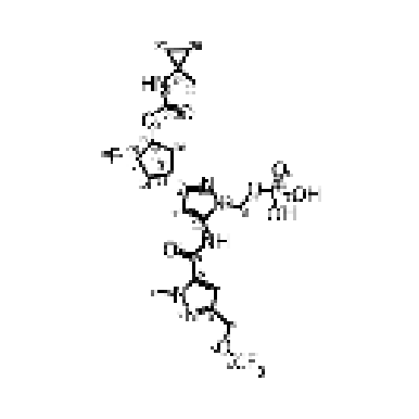 Cn1nc(COC(F)(F)F)cc1C(=O)Nc1cc([C@@H]2C[C@H](F)[C@H](OC(=O)NC3(C)CC3)C2)nn1COP(=O)(O)O